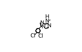 CNc1nccn2c(-c3ccc(Cl)c(Cl)c3)cnc12